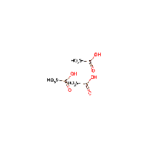 O=S(O)S(=O)(=O)O.O=S(O)S(=O)(=O)O.O=S(O)S(=O)(=O)O